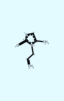 C=CCn1c(C)csc1=O